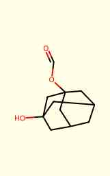 O=COC12CC3CC(CC(O)(C3)C1)C2